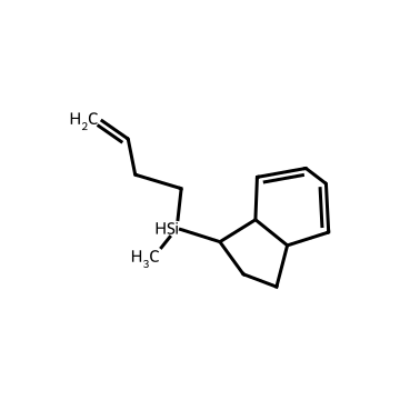 C=CCC[SiH](C)C1CCC2C=CC=CC21